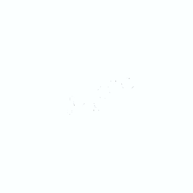 CCOC(=O)/C=C/C(=O)c1ccc(Oc2ccccc2)cc1